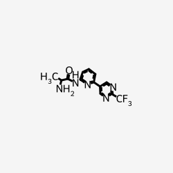 CC(N)C(=O)Nc1cccc(-c2cnc(C(F)(F)F)nc2)n1